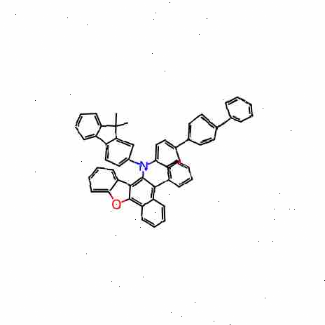 CC1(C)c2ccccc2-c2ccc(N(c3ccc(-c4ccc(-c5ccccc5)cc4)cc3)c3c(-c4ccccc4)c4ccccc4c4oc5ccccc5c34)cc21